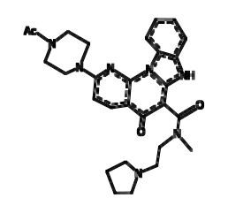 CC(=O)N1CCN(c2ccc3c(=O)c(C(=O)N(C)CCN4CCCC4)c4[nH]c5ccccc5n4c3n2)CC1